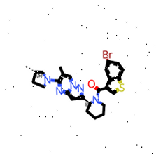 Cc1cn2nc([C@@H]3CCCCN3C(=O)c3csc4ccc(Br)cc34)cc2nc1N1CC[C@H](C)C1